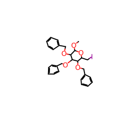 COC1OC(CI)C(OCc2ccccc2)C(OCc2ccccc2)C1OCc1ccccc1